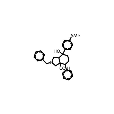 CSc1ccc(C2(O)CCC(c3ccccc3)C3(C(=O)O)CN(Cc4ccccc4)CC23)cc1